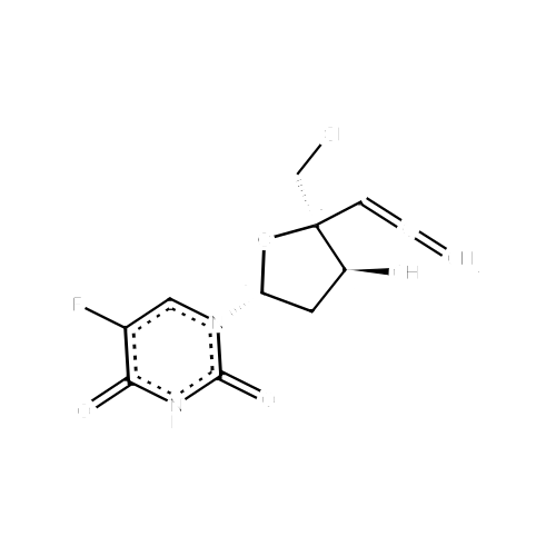 C=C=C[C@]1(CC)O[C@@H](n2cc(F)c(=O)[nH]c2=O)C[C@@H]1C